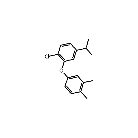 Cc1ccc(Oc2cc(C(C)C)ccc2Cl)cc1C